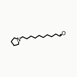 O=CCCCCCCCCCN1CCCC1